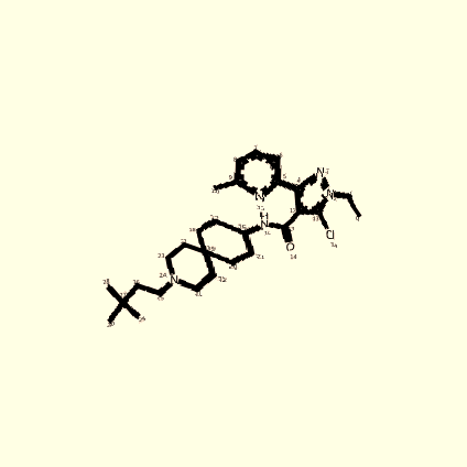 CCn1nc(-c2cccc(C)n2)c(C(=O)NC2CCC3(CC2)CCN(CCC(C)(C)C)CC3)c1Cl